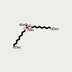 CCCCCCCCCCCCCCCCCCO[Si](CCCC)(OC)OCCCCCCCCCCCCCCCCCC